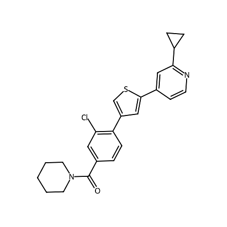 O=C(c1ccc(-c2csc(-c3ccnc(C4CC4)c3)c2)c(Cl)c1)N1CCCCC1